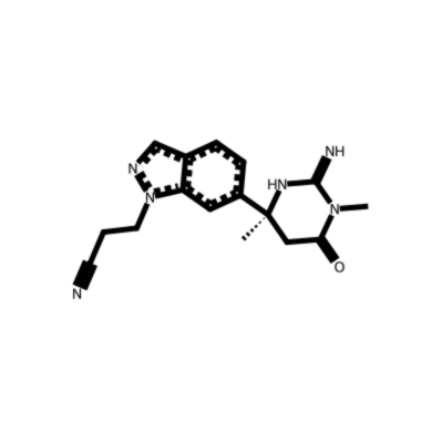 CN1C(=N)N[C@](C)(c2ccc3cnn(CCC#N)c3c2)CC1=O